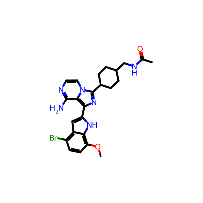 COc1ccc(Br)c2cc(-c3nc(C4CCC(CNC(C)=O)CC4)n4ccnc(N)c34)[nH]c12